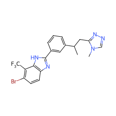 CC(Cc1nncn1C)c1cccc(-c2nc3ccc(Br)c(C(F)(F)F)c3[nH]2)c1